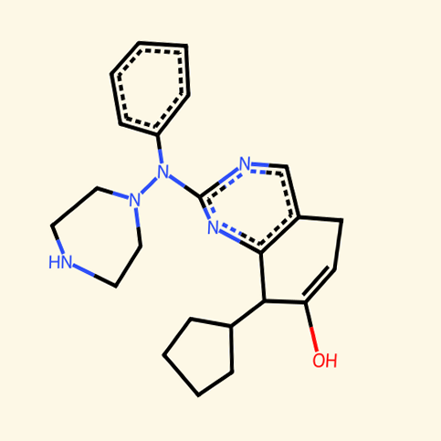 OC1=CCc2cnc(N(c3ccccc3)N3CCNCC3)nc2C1C1CCCC1